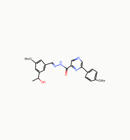 COc1ccc(-c2cncc(C(=O)NN=Cc3cc(OC)cc(C(C)O)c3)n2)cc1